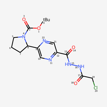 CC(C)(C)OC(=O)N1CCCC1c1cnc(C(=O)NNC(=O)CCl)cn1